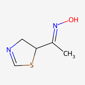 CC(=NO)C1CN=CS1